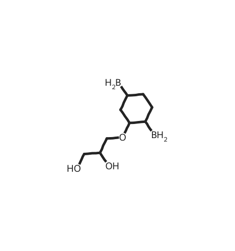 BC1CCC(B)C(OCC(O)CO)C1